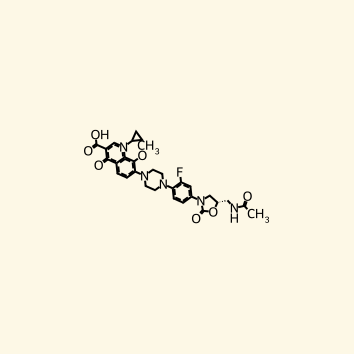 COc1c(N2CCN(c3ccc(N4C[C@H](CNC(C)=O)OC4=O)cc3F)CC2)ccc2c(=O)c(C(=O)O)cn(C3CC3)c12